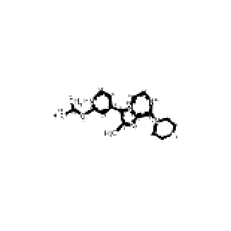 Cc1nc2c(N3CCOCC3)nccn2c1-c1ccnc(OC(C)C)c1